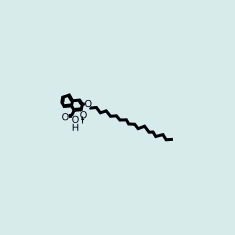 CCCCCCCCCCCCCCCCCCOc1cc2ccccc2c(C(=O)O)c1OI